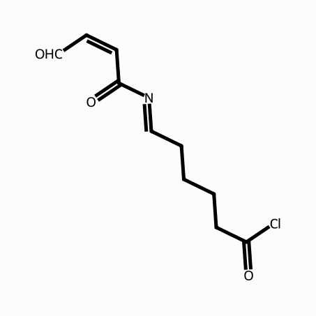 O=C/C=C\C(=O)N=CCCCCC(=O)Cl